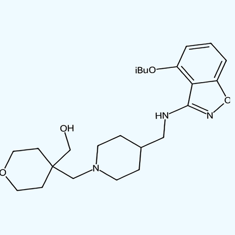 CC(C)COc1cccc2onc(NCC3CCN(CC4(CO)CCOCC4)CC3)c12